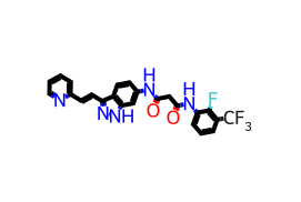 O=C(CC(=O)Nc1cccc(C(F)(F)F)c1F)Nc1ccc2c(C=Cc3ccccn3)n[nH]c2c1